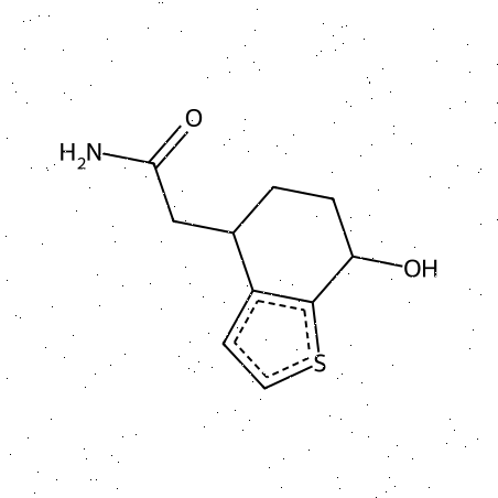 NC(=O)CC1CCC(O)c2sccc21